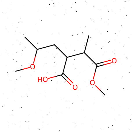 COC(=O)C(C)C(CC(C)OC)C(=O)O